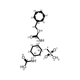 CS(=O)(=O)C[C@@H]1C[C@H](NC(=O)O)CC[C@@H]1NC(=O)OCc1ccccc1